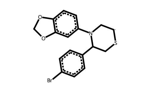 Brc1ccc(C2CS[CH]CN2c2ccc3c(c2)OCO3)cc1